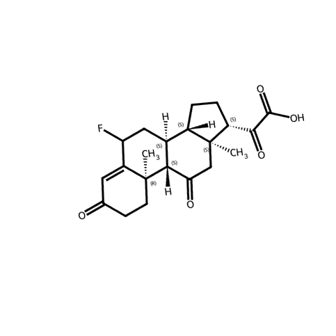 C[C@]12CC(=O)[C@H]3[C@@H](CC(F)C4=CC(=O)CC[C@@]43C)[C@@H]1CC[C@@H]2C(=O)C(=O)O